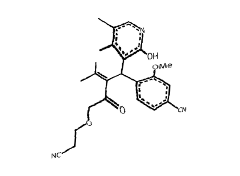 COc1cc(C#N)ccc1C(C(C(=O)COCCC#N)=C(C)C)c1c(O)ncc(C)c1C